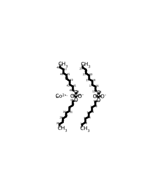 CCCCCCCCCCOP(=O)([O-])OCCCCCCCCCC.CCCCCCCCCCOP(=O)([O-])OCCCCCCCCCC.[Co+2]